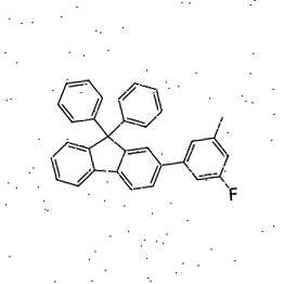 Cc1cc(F)cc(-c2ccc3c(c2)C(c2ccccc2)(c2ccccc2)c2ccccc2-3)c1